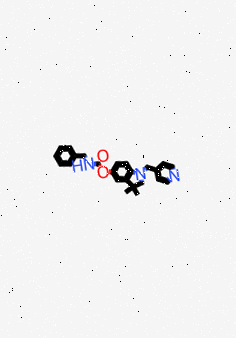 CC1(C)CN(Cc2ccncc2)c2ccc(OC(=O)NCc3ccccc3)cc21